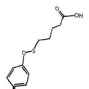 O=C(O)CCCCSOc1ccccc1